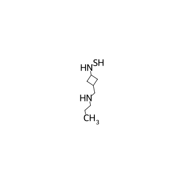 CCCNCC1CC(NS)C1